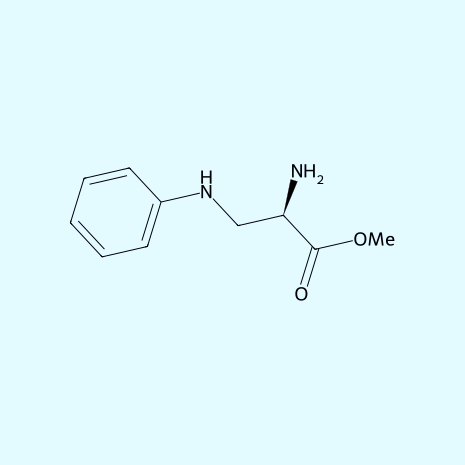 COC(=O)[C@H](N)CNc1ccccc1